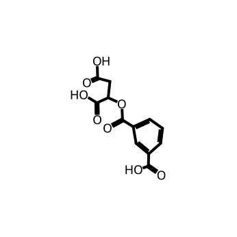 O=C(O)CC(OC(=O)c1cccc(C(=O)O)c1)C(=O)O